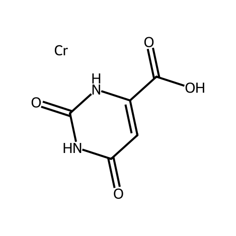 O=C(O)c1cc(=O)[nH]c(=O)[nH]1.[Cr]